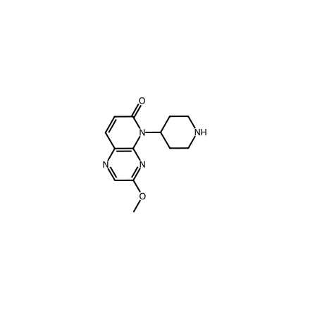 COc1cnc2ccc(=O)n(C3CCNCC3)c2n1